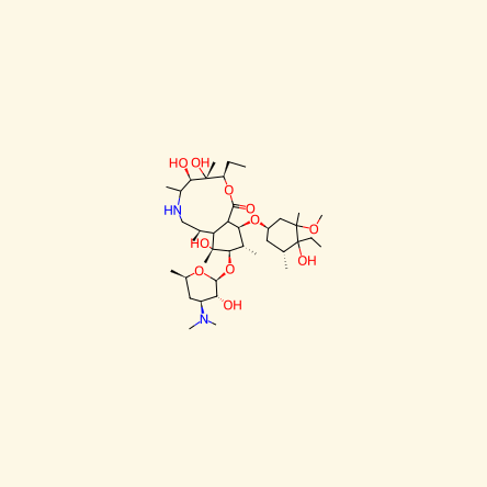 CC[C@H]1OC(=O)C2C([C@@H](C)CNC(C)[C@@H](O)[C@]1(C)O)[C@@](C)(O)[C@H](O[C@@H]1O[C@H](C)C[C@H](N(C)C)[C@H]1O)[C@@H](C)[C@@H]2O[C@@H]1C[C@@H](C)C(O)(CC)C(C)(OC)C1